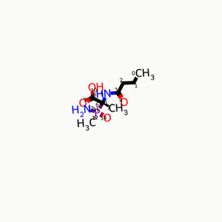 CCCC(=O)N[C@@](C)(C(=O)O)P(C)(N)=O